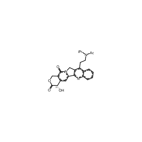 CC(=O)N(CCc1c2c(nc3ccccc13)-c1cc3c(c(=O)n1C2)COC(=O)[C@H]3O)C(C)C